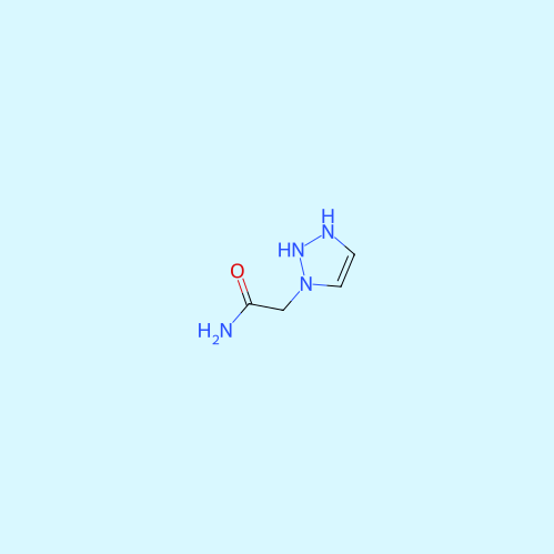 NC(=O)CN1C=CNN1